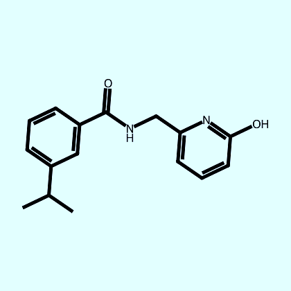 CC(C)c1cccc(C(=O)NCc2cccc(O)n2)c1